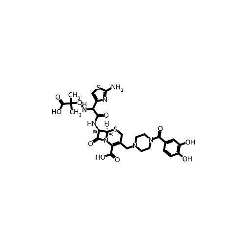 CC(C)(ONC(C(=O)N[C@@H]1C(=O)N2C(C(=O)O)=C(CN3CCN(C(=O)c4ccc(O)c(O)c4)CC3)CS[C@H]12)c1csc(N)n1)C(=O)O